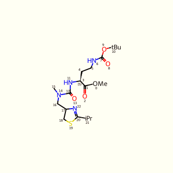 COC(=O)[C@H](CCNC(=O)OC(C)(C)C)NC(=O)N(C)CC1CSC(C(C)C)=N1